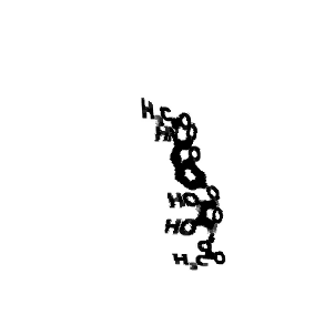 CC(=O)Nc1cc2ccc(O[C@@H]3O[C@H](COC(C)=O)C(O)[C@@H]3O)cc2oc1=O